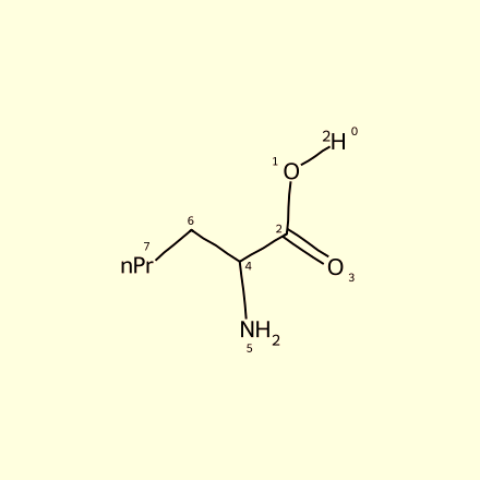 [2H]OC(=O)C(N)CCCC